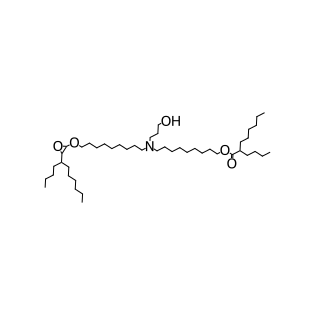 CCCCCCC(CCCC)C(=O)OCCCCCCCCCN(CCCO)CCCCCCCCCOC1OC1C(CCCC)CCCCCC